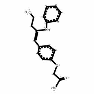 CCCC(=Cc1ccc(OCC(=O)O)cc1)Nc1ccccc1